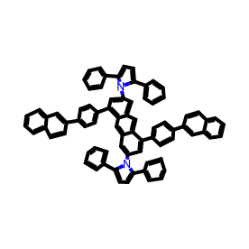 c1ccc(-c2ccc(-c3ccccc3)n2-c2cc(-c3ccc(-c4ccc5ccccc5c4)cc3)c3cc4cc(-n5c(-c6ccccc6)ccc5-c5ccccc5)cc(-c5ccc(-c6ccc7ccccc7c6)cc5)c4cc3c2)cc1